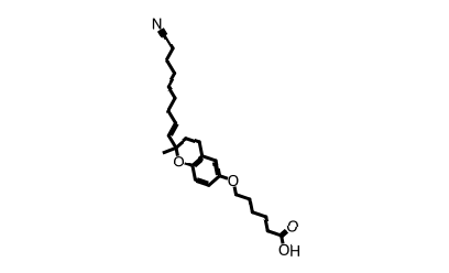 CC1(C=CCCCCCCC#N)CCc2cc(OCCCCCC(=O)O)ccc2O1